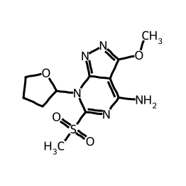 COc1nnc2n(C3CCCO3)c(S(C)(=O)=O)nc(N)c1-2